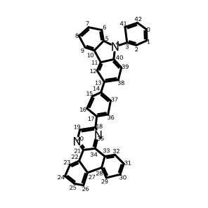 c1ccc(-n2c3ccccc3c3cc(-c4ccc(-c5cnc6c7ccccc7c7ccccc7c6n5)cc4)ccc32)cc1